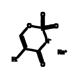 CCC1=COS(=O)(=O)[N-]C1=O.[Na+]